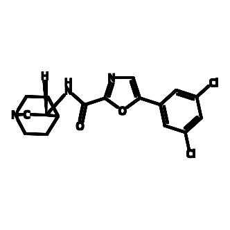 O=C(N[C@H]1CN2CCC1CC2)c1ncc(-c2cc(Cl)cc(Cl)c2)o1